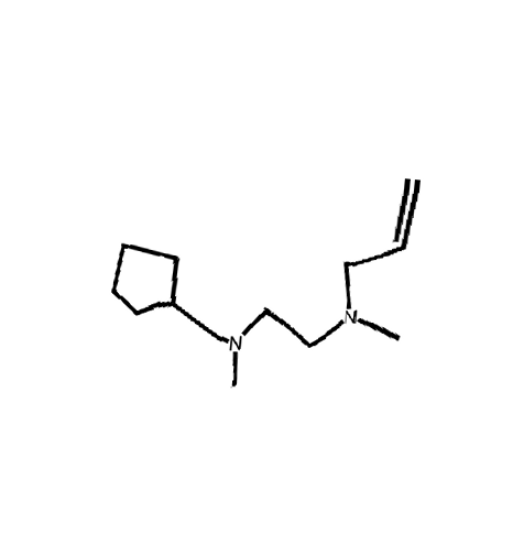 C=CCN(C)CCN(C)C1CCCC1